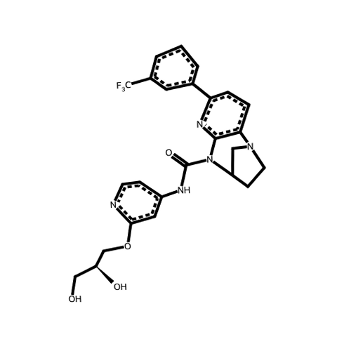 O=C(Nc1ccnc(OC[C@@H](O)CO)c1)N1c2nc(-c3cccc(C(F)(F)F)c3)ccc2N2CCC1C2